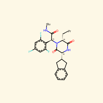 CC(C)C[C@@H]1C(=O)N[C@H](C2Cc3ccccc3C2)C(=O)N1[C@H](C(=O)NC(C)(C)C)c1c(F)cc(F)cc1F